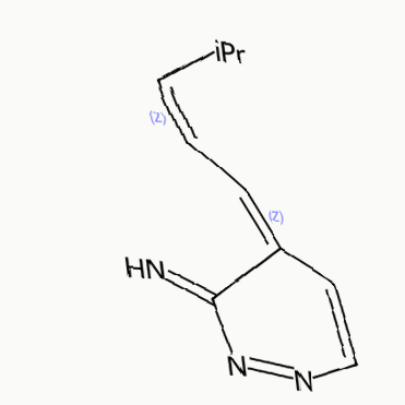 CC(C)/C=C\C=C1\C=CN=NC1=N